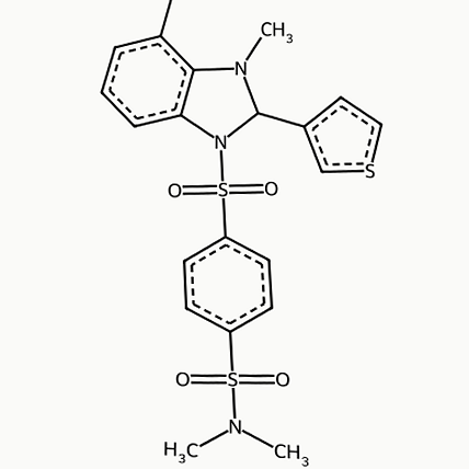 CN1c2c(F)cccc2N(S(=O)(=O)c2ccc(S(=O)(=O)N(C)C)cc2)C1c1ccsc1